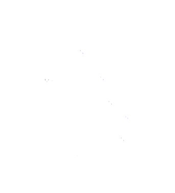 COc1cc(C(=O)N2CCN(c3cc(OCC(F)(F)F)ncn3)CC2)nc2ccccc12